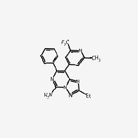 CCc1nc2c(-c3cc(C)nc(C(F)(F)F)c3)c(-c3ccccc3)nc(N)n2n1